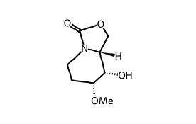 CO[C@@H]1CCN2C(=O)OC[C@@H]2[C@@H]1O